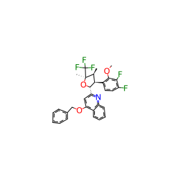 COc1c([C@H]2[C@H](c3cc(OCc4ccccc4)c4ccccc4n3)O[C@@](C)(C(F)(F)F)[C@H]2C)ccc(F)c1F